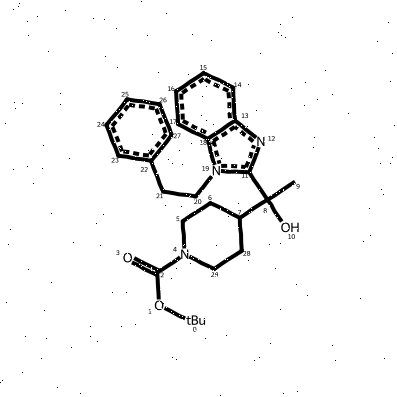 CC(C)(C)OC(=O)N1CCC(C(C)(O)c2nc3ccccc3n2CCc2ccccc2)CC1